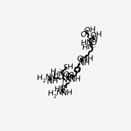 C[C@H](CCCCNC(=O)NCc1ccc(CC(=O)N[C@@H](CCCNC(=N)N)C(=O)N[C@@H](CCCNC(=N)N)C(=O)N[C@H](C)CS)cc1)NC(=O)N[C@@H](CCC(=O)O)C(=O)O